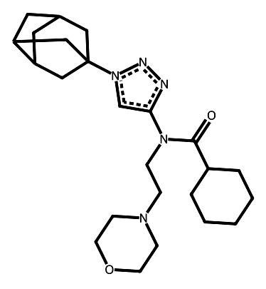 O=C(C1CCCCC1)N(CCN1CCOCC1)c1cn(C23CC4CC(C2)C(C4)C3)nn1